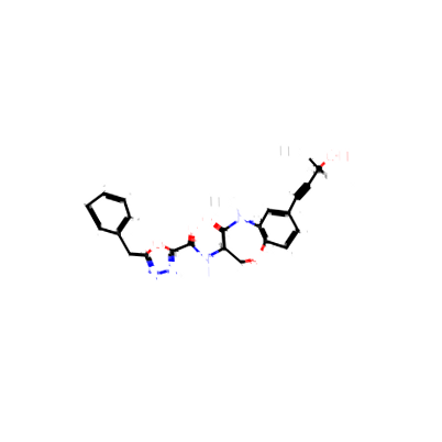 CN1C(=O)C(NC(=O)c2nnc(Cc3ccccc3)o2)COc2ccc(C#CC(C)(C)O)cc21